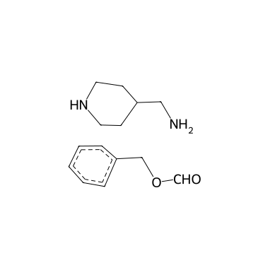 NCC1CCNCC1.O=COCc1ccccc1